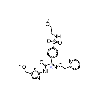 COCCNS(=O)(=O)c1ccc(/C(=N\OCc2ccccn2)C(=O)Nc2ncc(COC)s2)cc1